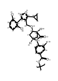 CC(C)(C)OC(=O)c1ccc(N2C(=O)[C@@H]3C[C@H]2C[C@H]3OCc2c(-c3c(Cl)cccc3Cl)noc2C2CC2)c(F)c1